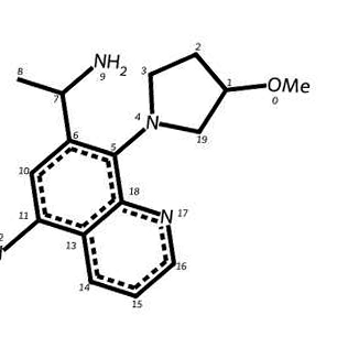 COC1CCN(c2c(C(C)N)cc(Cl)c3cccnc23)C1